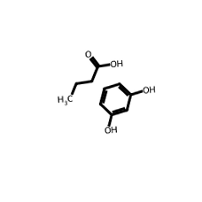 CCCC(=O)O.Oc1cccc(O)c1